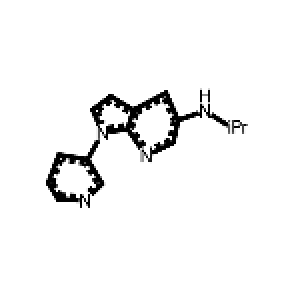 CC(C)Nc1cnc2c(ccn2-c2cccnc2)c1